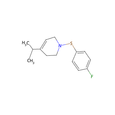 CC(C)C1=CCN(Sc2ccc(F)cc2)CC1